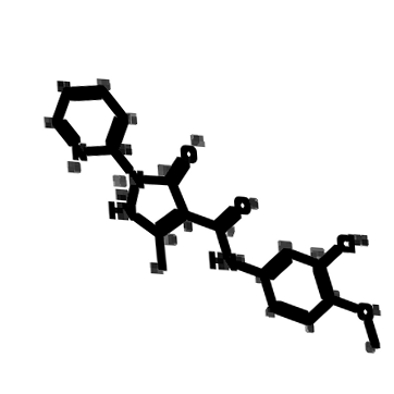 COc1ccc(NC(=O)c2c(C)[nH]n(-c3ccccn3)c2=O)cc1Cl